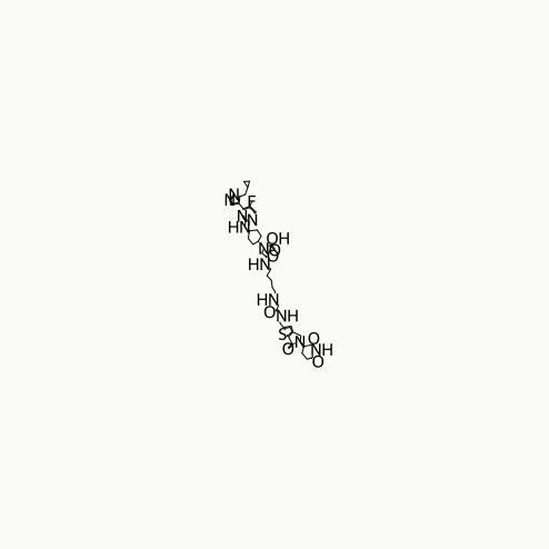 Cn1ncc(-c2nc(N[C@H]3CC[C@H](N(CC(=O)NCCCCCNCC(=O)NCc4cc5c(s4)C(=O)N(C4CCC(=O)NC4=O)C5)C(=O)O)CC3)ncc2F)c1CC1CC1